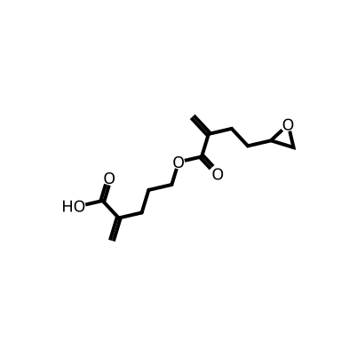 C=C(CCCOC(=O)C(=C)CCC1CO1)C(=O)O